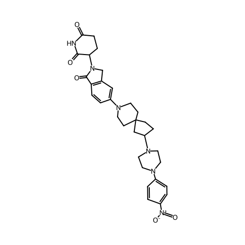 O=C1CCC(N2Cc3cc(N4CCC5(CCC(N6CCN(c7ccc([N+](=O)[O-])cc7)CC6)C5)CC4)ccc3C2=O)C(=O)N1